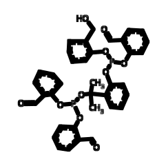 CC(C)(OP(Oc1ccccc1C=O)Oc1ccccc1C=O)c1ccccc1OP(Oc1ccccc1C=O)Oc1ccccc1CO